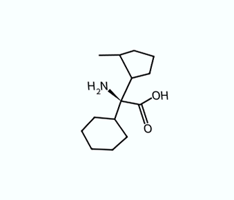 CC1CCCC1[C@](N)(C(=O)O)C1CCCCC1